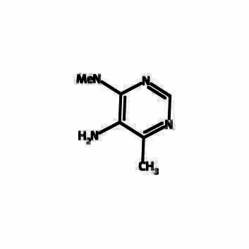 CNc1ncnc(C)c1N